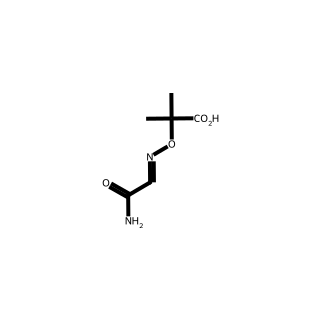 CC(C)(ON=CC(N)=O)C(=O)O